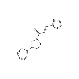 O=C(/C=C/c1nccs1)N1CCC(c2ccccc2)C1